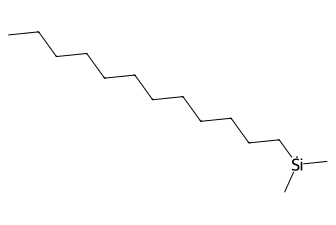 CCCCCCCCCCCC[Si](C)C